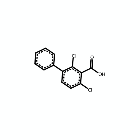 O=C(O)c1c(Cl)ccc(-c2ccccc2)c1Cl